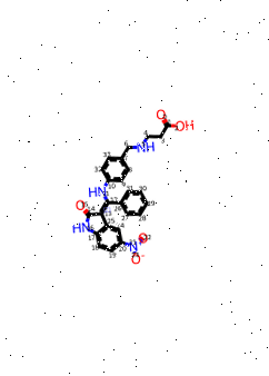 O=C(O)CCNCc1ccc(N/C(=C2\C(=O)Nc3ccc([N+](=O)[O-])cc32)c2ccccc2)cc1